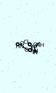 CCNC(=O)C[C@@H]1N=C(c2ccc(Cl)cc2)c2cc(OCCCNC(=O)c3ccccc3)ccc2-n2c(C)nnc21